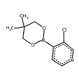 CC1(C)COB(c2ccncc2Cl)OC1